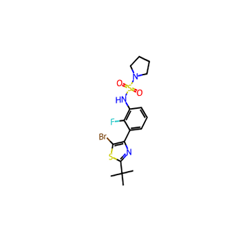 CC(C)(C)c1nc(-c2cccc(NS(=O)(=O)N3CCCC3)c2F)c(Br)s1